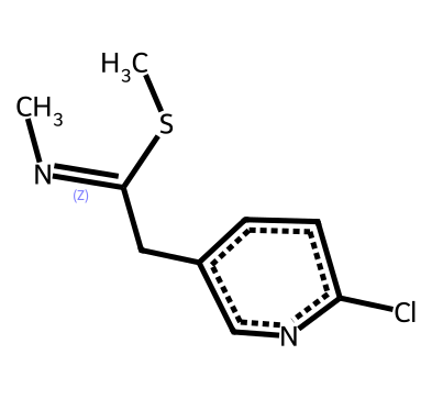 C/N=C(/Cc1ccc(Cl)nc1)SC